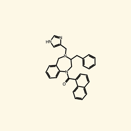 O=C(c1cccc2ccccc12)N1CC(Cc2ccccc2)N(Cc2c[nH]cn2)Cc2ccccc21